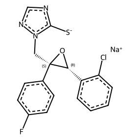 Fc1ccc([C@@]2(Cn3ncnc3[S-])O[C@@H]2c2ccccc2Cl)cc1.[Na+]